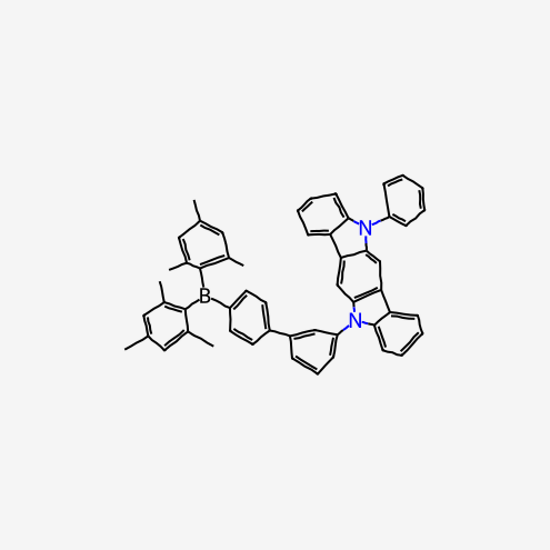 Cc1cc(C)c(B(c2ccc(-c3cccc(-n4c5ccccc5c5cc6c(cc54)c4ccccc4n6-c4ccccc4)c3)cc2)c2c(C)cc(C)cc2C)c(C)c1